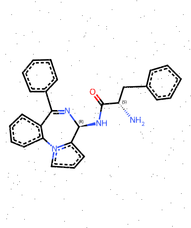 N[C@@H](Cc1ccccc1)C(=O)N[C@@H]1N=C(c2ccccc2)c2ccccc2-n2cccc21